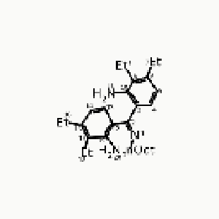 CCCCCCCCN=C(c1ccc(CC)c(CC)c1N)c1ccc(CC)c(CC)c1N